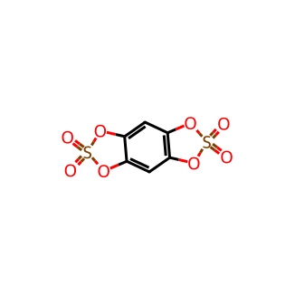 O=S1(=O)Oc2cc3c(cc2O1)OS(=O)(=O)O3